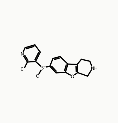 [O-][S+](c1ccc2c3c(oc2c1)CNCC3)c1cccnc1Cl